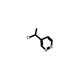 CC(Cl)c1ccnnc1